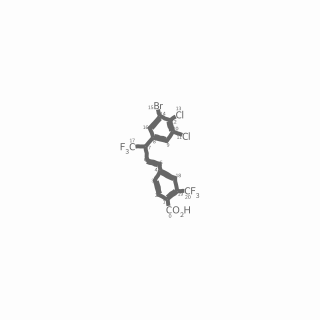 O=C(O)c1ccc(/C=C/C(c2cc(Cl)c(Cl)c(Br)c2)C(F)(F)F)cc1C(F)(F)F